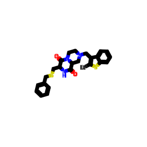 CCc1sc2ccccc2c1CN1CCN2C(=O)C(CSCc3ccccc3)NC(=O)C2C1